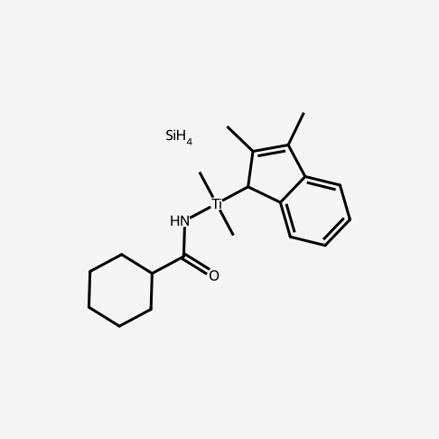 CC1=C(C)[CH]([Ti]([CH3])([CH3])[NH]C(=O)C2CCCCC2)c2ccccc21.[SiH4]